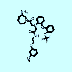 COc1cccc(OCCNC(=O)CN(CC(=O)N2CCC=CC(N)C2)c2ccccc2Oc2ccccc2OC(F)(F)F)c1